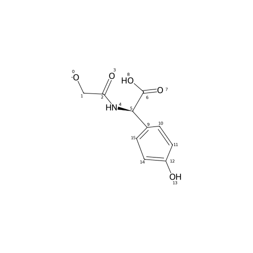 [O]CC(=O)N[C@@H](C(=O)O)c1ccc(O)cc1